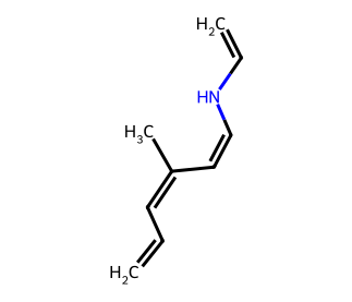 C=C/C=C(C)\C=C/NC=C